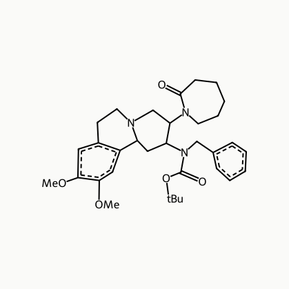 COc1cc2c(cc1OC)C1CC(N(Cc3ccccc3)C(=O)OC(C)(C)C)C(N3CCCCCC3=O)CN1CC2